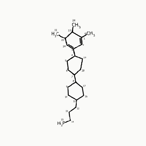 CC1=CC(C2CCC(C3CCC(CCCP)CC3)CC2)=CC(C)C1C